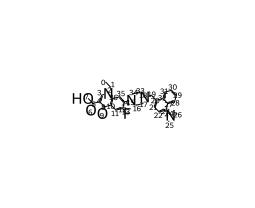 CCn1cc(C(=O)O)c(=O)c2cc(F)c(N3CCN(Cc4ccc(N(C)C)c5ccccc45)CC3)cc21